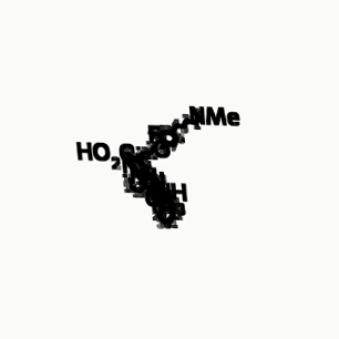 CNCCCCc1ccc(OCCCc2sc(N3CCCc4c3nnc(Nc3nc5ccccc5s3)c4C)nc2C(=O)O)c(F)c1